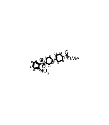 COC(=O)[C@H]1CC[C@H](N2CCN(S(=O)(=O)c3ccccc3[N+](=O)[O-])CC2)CC1